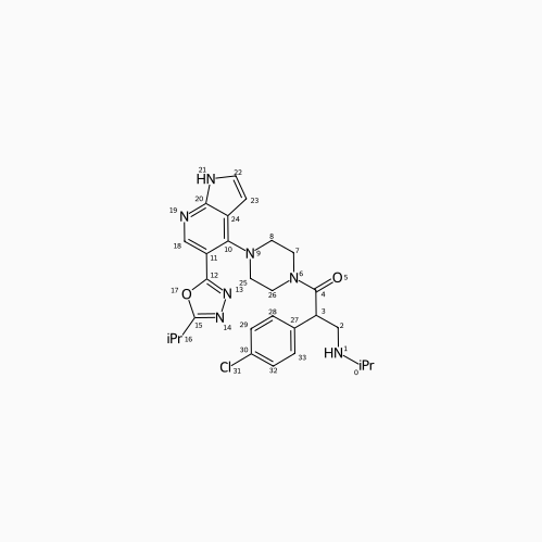 CC(C)NCC(C(=O)N1CCN(c2c(-c3nnc(C(C)C)o3)cnc3[nH]ccc23)CC1)c1ccc(Cl)cc1